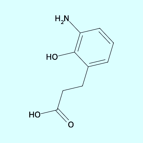 Nc1cccc(CCC(=O)O)c1O